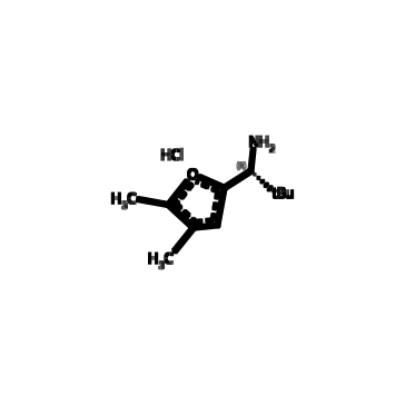 Cc1cc([C@H](N)C(C)(C)C)oc1C.Cl